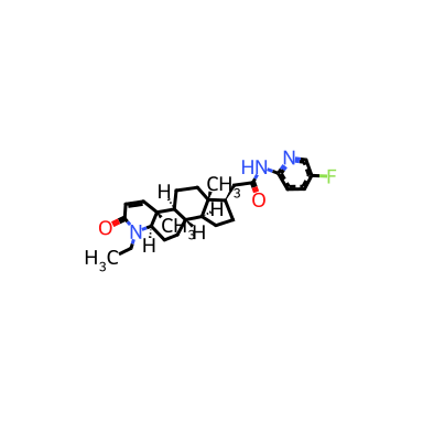 CCN1C(=O)C=C[C@]2(C)[C@H]3CC[C@]4(C)[C@@H](CC(=O)Nc5ccc(F)cn5)CC[C@H]4[C@@H]3CC[C@@H]12